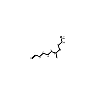 C=CCCCCC(C)CCCC(C)=O